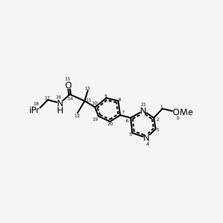 COCc1cncc(-c2ccc(C(C)(C)C(=O)NCC(C)C)cc2)n1